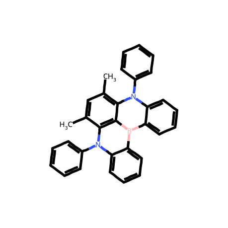 Cc1cc(C)c2c3c1N(c1ccccc1)c1ccccc1B3c1ccccc1N2c1ccccc1